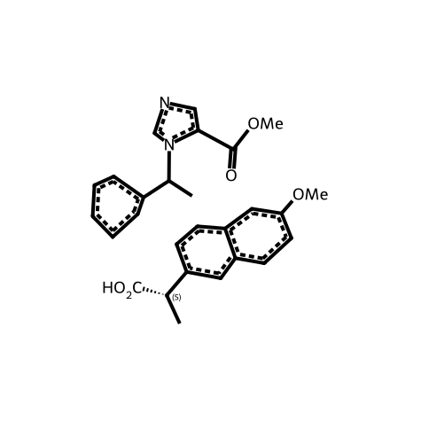 COC(=O)c1cncn1C(C)c1ccccc1.COc1ccc2cc([C@H](C)C(=O)O)ccc2c1